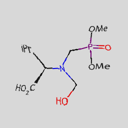 COP(=O)(CN(CO)[C@@H](C(=O)O)C(C)C)OC